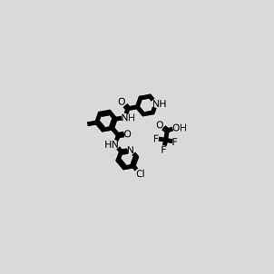 Cc1ccc(NC(=O)C2CCNCC2)c(C(=O)Nc2ccc(Cl)cn2)c1.O=C(O)C(F)(F)F